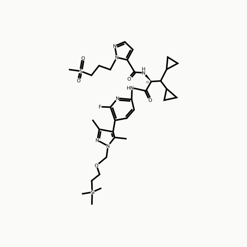 Cc1nn(COCC[Si](C)(C)C)c(C)c1-c1ccc(NC(=O)[C@@H](NC(=O)c2ccnn2CCCS(C)(=O)=O)C(C2CC2)C2CC2)nc1F